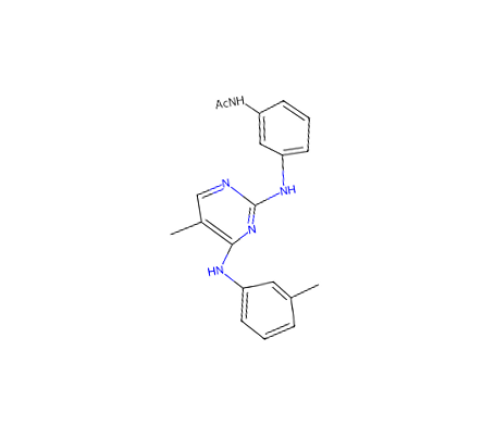 CC(=O)Nc1cccc(Nc2ncc(C)c(Nc3cccc(C)c3)n2)c1